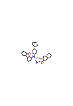 C1=NC2Oc3cc4ccccc4cc3C2C=C1N(c1ccc(-c2ccccc2)cc1)c1cccc2c1oc1ccccc12